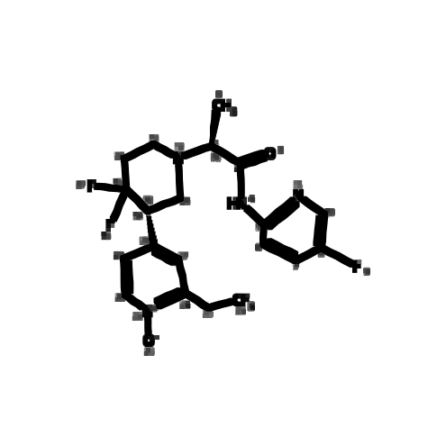 C[C@@H](C(=O)Nc1ccc(F)cn1)N1CCC(F)(F)[C@@H](c2cc[n+]([O-])c(CC(F)(F)F)c2)C1